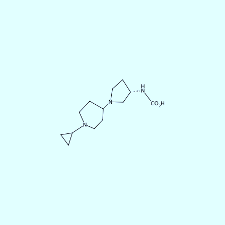 O=C(O)N[C@H]1CCN(C2CCN(C3CC3)CC2)C1